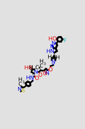 Cc1ncsc1-c1ccc(CNC(=O)[C@@H]2C[C@@H](O)CN2C(=O)[C@@H](c2cc(OCCN3C[C@@H]4[C@H](C3)[C@H]4c3cc4cc(-c5cc(F)ccc5O)nnc4[nH]3)no2)C(C)C)cc1